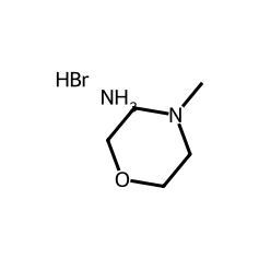 Br.CN1CCOCC1.N